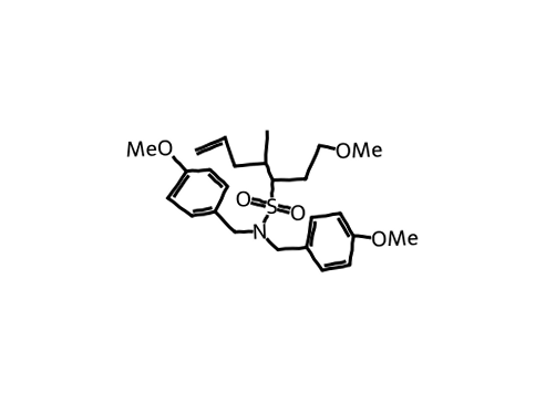 C=CCC(C)C(CCOC)S(=O)(=O)N(Cc1ccc(OC)cc1)Cc1ccc(OC)cc1